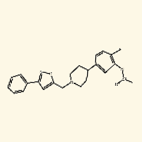 C[S+]([O-])Nc1cc(C2CCN(Cc3cc(-c4ccccc4)no3)CC2)ccc1F